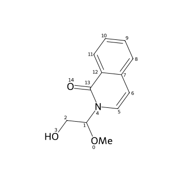 COC(CO)n1ccc2ccccc2c1=O